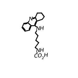 O=C(O)NCCCCCNc1c2c(nc3ccccc13)CCCC2